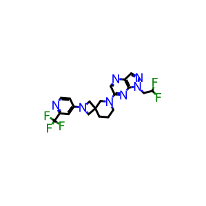 FC(F)Cn1ncc2ncc(N3CCCC4(CN(c5ccnc(C(F)(F)F)c5)C4)C3)nc21